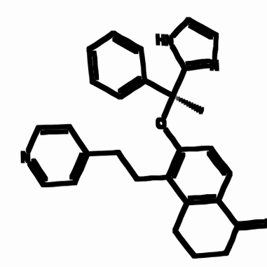 C[C@](Oc1ccc2c(c1CCc1ccncc1)CCCC2=O)(c1ccccc1)c1ncc[nH]1